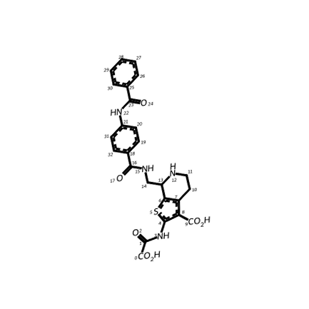 O=C(O)C(=O)Nc1sc2c(c1C(=O)O)CCNC2CNC(=O)c1ccc(NC(=O)c2ccccc2)cc1